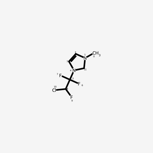 CN1C=CN(C(F)(F)C(F)Cl)C1